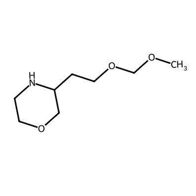 COCOCCC1COCCN1